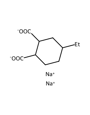 CCC1CCC(C(=O)[O-])C(C(=O)[O-])C1.[Na+].[Na+]